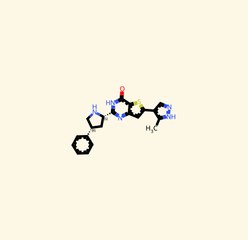 Cc1[nH]ncc1-c1cc2nc([C@@H]3C[C@H](c4ccccc4)CN3)[nH]c(=O)c2s1